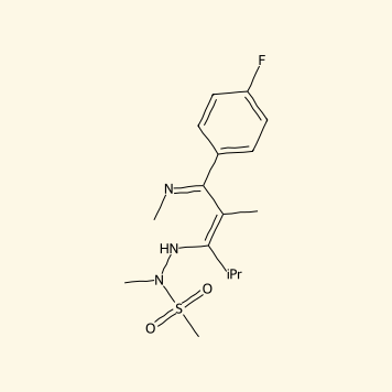 C/N=C(\C(C)=C(/NN(C)S(C)(=O)=O)C(C)C)c1ccc(F)cc1